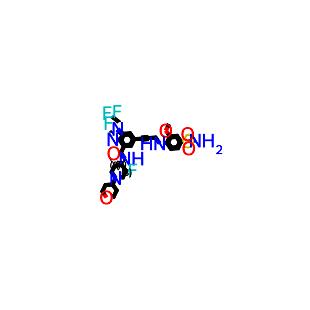 COc1cc(S(N)(=O)=O)ccc1NCC#Cc1cc(C(=O)N[C@@H]2[C@@H](C)CN(C3CCOCC3)C[C@@H]2F)c2ncn(CC(F)(F)F)c2c1